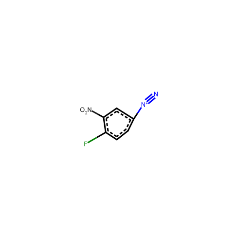 N#[N+]c1ccc(F)c([N+](=O)[O-])c1